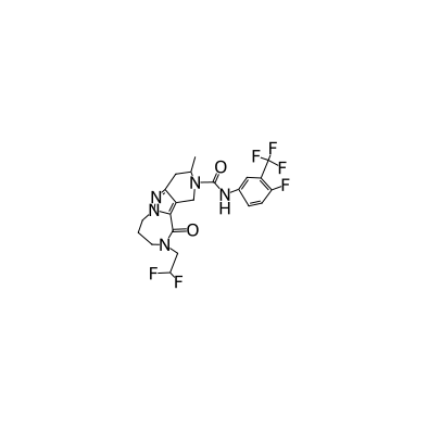 CC1Cc2nn3c(c2CN1C(=O)Nc1ccc(F)c(C(F)(F)F)c1)C(=O)N(CC(F)F)CCC3